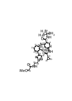 BC(B)(B)NC(=O)c1cnc(NC(=O)C2CC2)cc1Nc1cccc(-c2cnn(CCNC(=O)COC)n2)c1OC